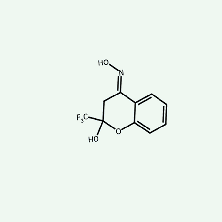 ON=C1CC(O)(C(F)(F)F)Oc2ccccc21